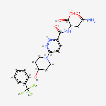 NC(=O)CC(NC(=O)c1ccc(N2CCC(Oc3ccccc3C(F)(F)F)CC2)nn1)C(=O)O